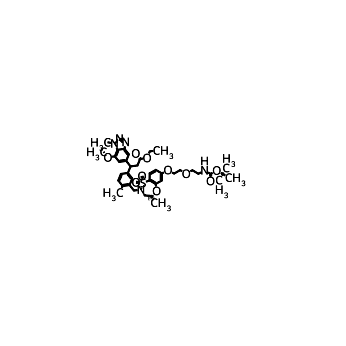 CCOC(=O)CC(c1ccc(C)c(CN2C[C@@H](C)Oc3cc(OCCOCCNC(=O)OC(C)(C)C)ccc3S2(=O)=O)c1)c1cc(OC)c2c(c1)nnn2C